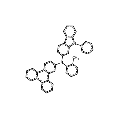 Cc1ccccc1N(c1ccc2c3ccccc3c3ccccc3c2c1)c1ccc2c3ccccc3n(-c3ccccc3)c2c1